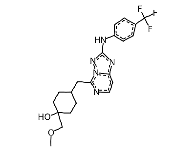 COCC1(O)CCC(Cc2nccc3nc(Nc4ccc(C(F)(F)F)cc4)nn23)CC1